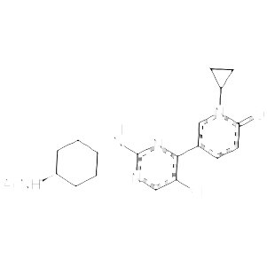 CC(=O)N[C@H]1CC[C@H](Nc2ncc(Cl)c(-c3ccc(=O)n(C4CC4)c3)n2)CC1